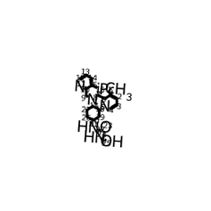 Cc1cccnc1CN(Cc1ncccc1C(C)C)[C@H]1CC[C@H](NC(=O)NO)CC1